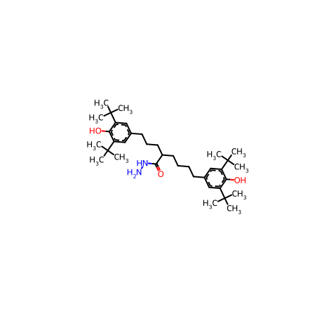 CC(C)(C)c1cc(CCCCC(CCCc2cc(C(C)(C)C)c(O)c(C(C)(C)C)c2)C(=O)NN)cc(C(C)(C)C)c1O